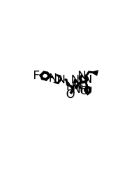 O=c1[nH]n2c3c(-c4ccco4)nc(CC4CC4)nc3nc2n1CCN1CCN(c2ccc(F)cc2)CC1